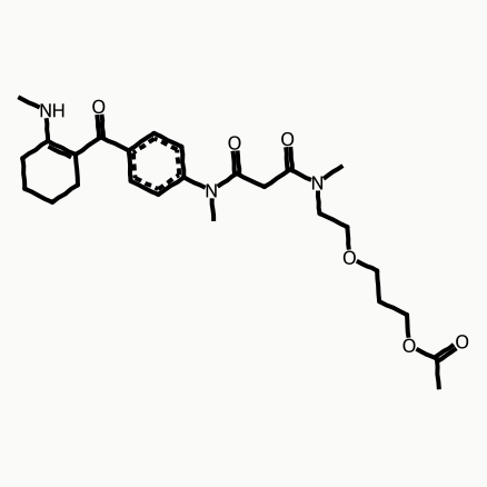 CNC1=C(C(=O)c2ccc(N(C)C(=O)CC(=O)N(C)CCOCCCOC(C)=O)cc2)CCCC1